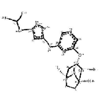 CN1[C@H]2CC[C@@H]1[C@@H](F)[C@@H](Oc1cncc(Nc3cc(OC(F)F)[nH]n3)n1)C2